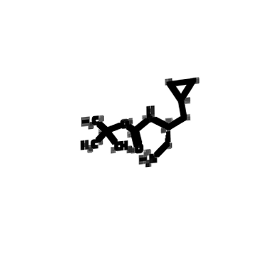 CC(C)(C)OC(=O)N[C@@H](CN)CC1CC1